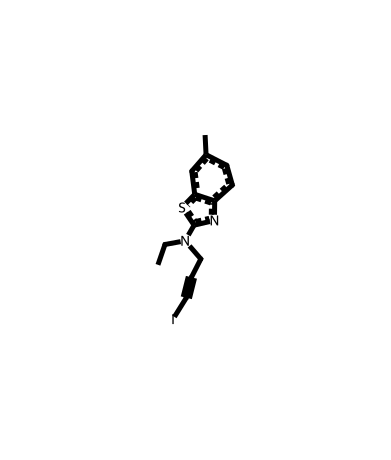 CCN(CC#CI)c1nc2ccc(C)cc2s1